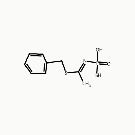 CC(=NP(=O)(O)S)SCc1ccccc1